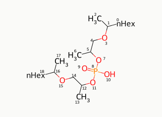 CCCCCCC(C)OCC(C)OP(=O)(O)OC(C)COC(C)CCCCCC